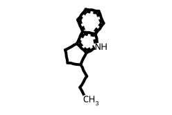 CCCC1CCc2c1[nH]c1ccccc21